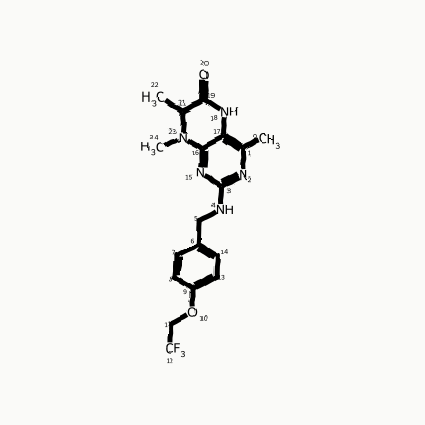 Cc1nc(NCc2ccc(OCC(F)(F)F)cc2)nc2c1NC(=O)C(C)N2C